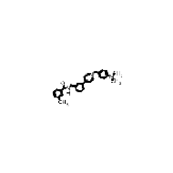 Cc1cccc(C(=O)NCc2cccc(C3=CCN(Cc4ccc(N(C)C)cc4)CC3)c2)c1